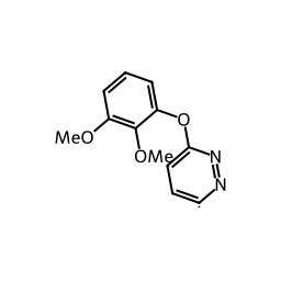 COc1cccc(Oc2cc[c]nn2)c1OC